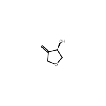 C=C1COC[C@@H]1O